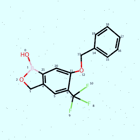 OB1OCc2cc(C(F)(F)F)c(OCc3ccccc3)cc21